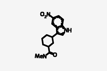 CNC(=O)C1CCCC(c2c[nH]c3ccc([N+](=O)[O-])cc23)C1